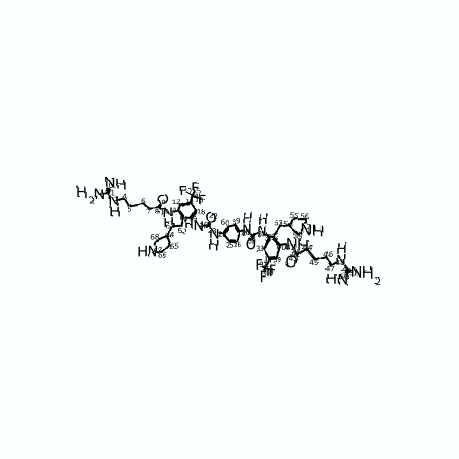 N=C(N)NCCCCC(=O)Nc1cc(C(F)(F)F)cc(NC(=O)Nc2ccc(NC(=O)Nc3cc(C(F)(F)F)cc(NC(=O)CCCCNC(=N)N)c3CC3CCNC3)cc2)c1CCC1CCNC1